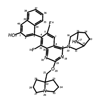 Oc1cc(-c2c(F)cc3c(N4CC5CCC(C4)N5)nc(OCC45CCCN4CCC5)nc3c2F)c2ccccc2c1